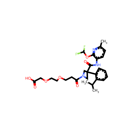 Cc1ccc(NC(=O)C2(c3ccccc3C(C)C)CN(C(=O)CCOCCOCC(=O)O)C2)c(OC(F)F)n1